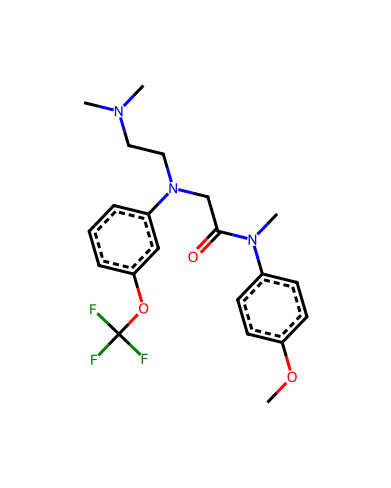 COc1ccc(N(C)C(=O)CN(CCN(C)C)c2cccc(OC(F)(F)F)c2)cc1